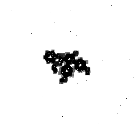 CCOc1ccccc1NC(=O)C1CC(=O)N(c2ccc(OC)cc2)C1c1ccc(OC)cc1